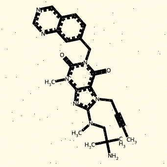 CC#CCn1c(N(C)CC(C)(C)N)nc2c1c(=O)n(Cc1ccc3cncnc3c1)c(=O)n2C